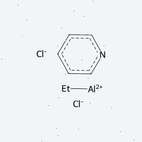 C[CH2][Al+2].[Cl-].[Cl-].c1ccncc1